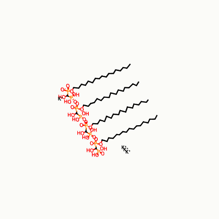 CCCCCCCCCCCCCCCCCOP(=O)([O-])C(O)P(=O)(O)O.CCCCCCCCCCCCCCCCCOP(=O)([O-])C(O)P(=O)(O)O.CCCCCCCCCCCCCCCCCOP(=O)([O-])C(O)P(=O)(O)O.CCCCCCCCCCCCCCCCCOP(=O)([O-])C(O)P(=O)(O)O.[K+].[K+].[K+].[K+]